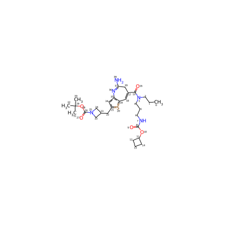 CCCN(CCCNC(=O)OC1CCC1)C(=O)C1=Cc2sc(CC3CN(C(=O)OC(C)(C)C)C3)cc2N=C(N)C1